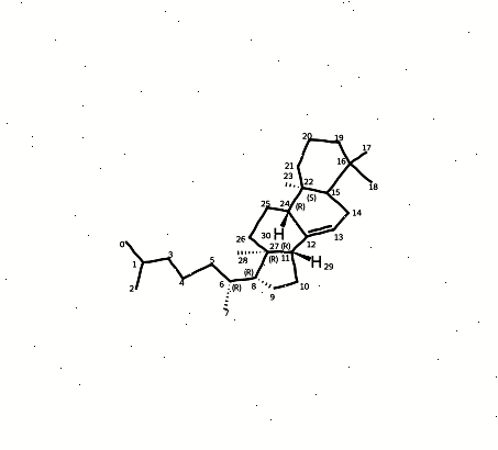 CC(C)CCC[C@@H](C)[C@H]1CC[C@H]2C3=CCC4C(C)(C)CCC[C@]4(C)[C@H]3CC[C@]12C